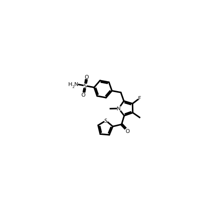 Cc1c(F)c(Cc2ccc(S(N)(=O)=O)cc2)n(C)c1C(=O)c1cccs1